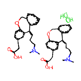 CN(C)CC/C=C1/c2ccccc2COc2ccc(CC(=O)O)cc21.CN(C)CC/C=C1/c2ccccc2COc2ccc(CC(=O)O)cc21.Cl.Cl